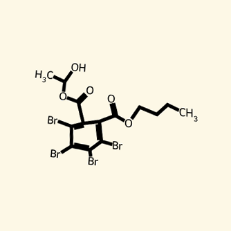 CCCCOC(=O)c1c(Br)c(Br)c(Br)c(Br)c1C(=O)OC(C)O